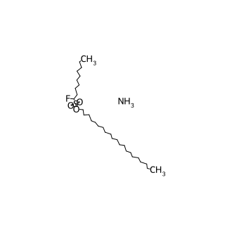 CCCCCCCCCCCCCCCCCCCCCOS(=O)(=O)C(F)CCCCCCCCC.N